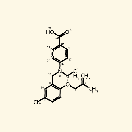 C=C(C)COc1ccc(Cl)cc1CN(CC)c1ccc(C(=O)O)nn1